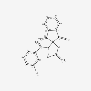 C=C(Cl)CC1(CC(=C)c2cccc(Cl)c2)C(=O)c2ccccc2C1=O